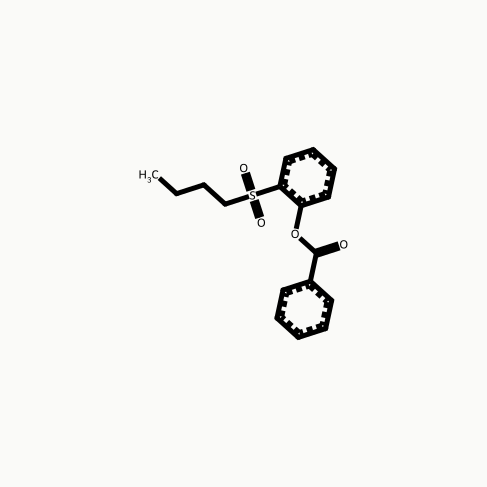 CCCCS(=O)(=O)c1ccccc1OC(=O)c1ccccc1